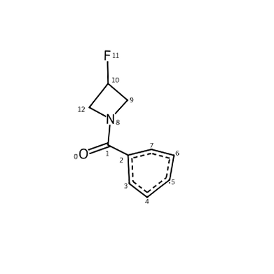 O=C(c1cc[c]cc1)N1CC(F)C1